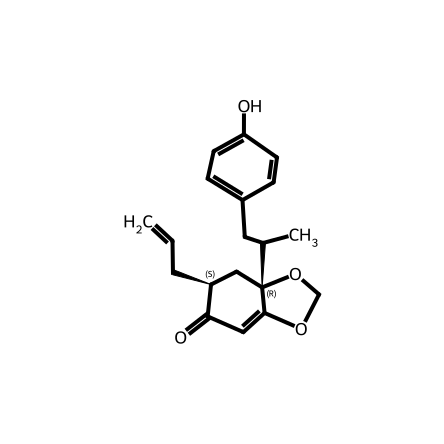 C=CC[C@H]1C[C@]2(C(C)Cc3ccc(O)cc3)OCOC2=CC1=O